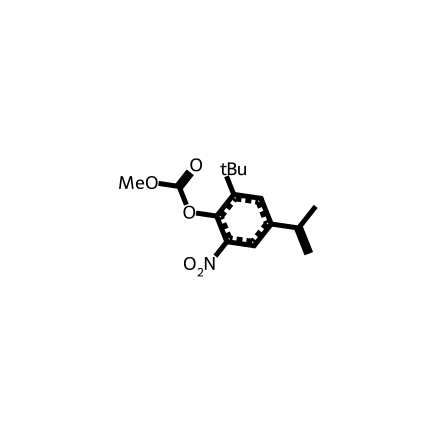 C=C(C)c1cc([N+](=O)[O-])c(OC(=O)OC)c(C(C)(C)C)c1